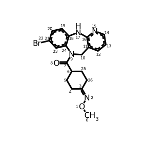 CON=C1CCC(C(=O)N2Cc3cccnc3Nc3ccc(Br)cc32)CC1